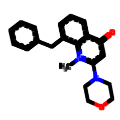 Cn1c(N2CCOCC2)cc(=O)c2cccc(Cc3ccccc3)c21